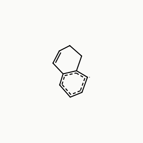 [c]1cccc2c1CCC=C2